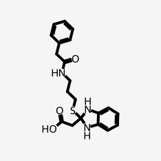 O=C(O)CC1(SCCCNC(=O)Cc2ccccc2)Nc2ccccc2N1